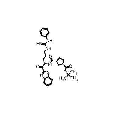 CC(C)(C)OC(=O)N1CC[C@H](C(=O)N[C@@H](CCCNC(=N)Nc2ccccc2)C(=O)c2nc3ccccc3s2)C1